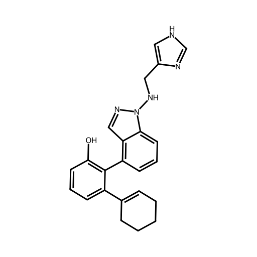 Oc1cccc(C2=CCCCC2)c1-c1cccc2c1cnn2NCc1c[nH]cn1